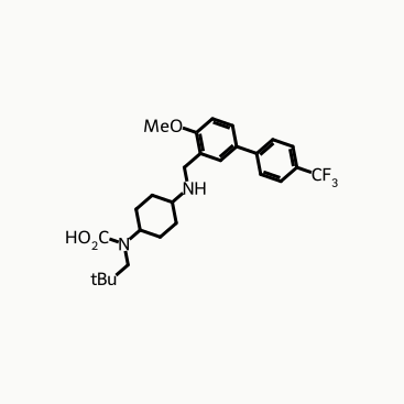 COc1ccc(-c2ccc(C(F)(F)F)cc2)cc1CNC1CCC(N(CC(C)(C)C)C(=O)O)CC1